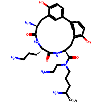 NCCC[C@@H]1NC(=O)[C@@H](N)Cc2cc(ccc2O)-c2ccc(O)c(c2)C[C@@H](C(=O)N(CCN)CCCC(N)C(=O)O)NC1=O